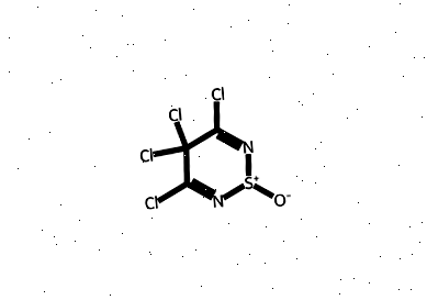 [O-][S+]1N=C(Cl)C(Cl)(Cl)C(Cl)=N1